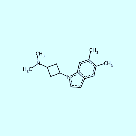 Cc1cc2ccn(C3CC(N(C)C)C3)c2cc1C